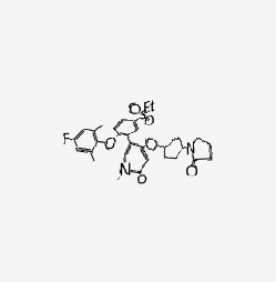 CCS(=O)(=O)c1ccc(Oc2c(C)cc(F)cc2C)c(-c2cn(C)c(=O)cc2OC2CCC(N3CCCC3=O)CC2)c1